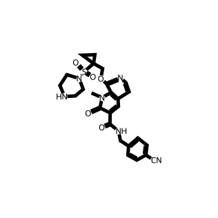 Cn1c(=O)c(C(=O)NCc2ccc(C#N)cc2)cc2ccnc(OCC3(S(=O)(=O)N4CCNCC4)CC3)c21